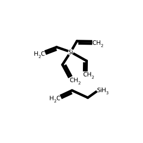 C=CC[SiH3].C=C[Si](C=C)(C=C)C=C